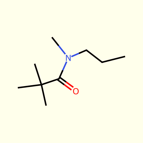 CCCN(C)C(=O)C(C)(C)C